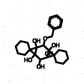 OC1C2(O)C3(CCCCC3)C2(O)C(OCc2ccccc2)C2(O)C3(CCCCC3)C12O